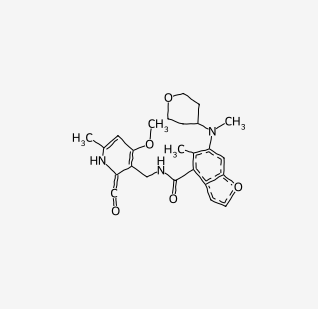 COC1=C(CNC(=O)c2c(C)c(N(C)C3CCOCC3)cc3occc23)C(=C=O)NC(C)=C1